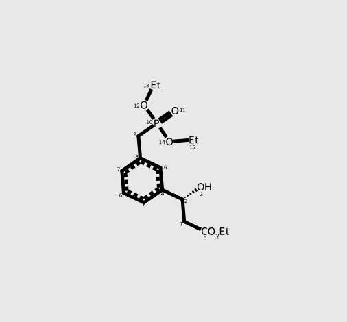 CCOC(=O)C[C@@H](O)c1cccc(CP(=O)(OCC)OCC)c1